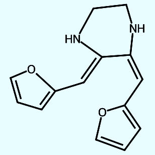 C(=C1NCCNC1=Cc1ccco1)c1ccco1